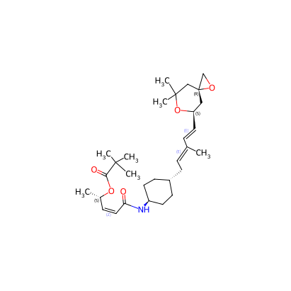 CC(/C=C/[C@@H]1C[C@]2(CO2)CC(C)(C)O1)=C\C[C@H]1CC[C@H](NC(=O)/C=C\[C@H](C)OC(=O)C(C)(C)C)CC1